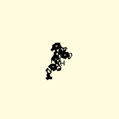 COc1ccc(N2C(=O)N(c3c(C)cccc3C)Cc3cnc(Nc4ccc(N(C)CCC(C)C)cc4OC)nc32)c(OC)c1